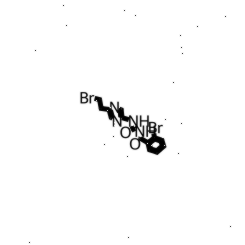 O=C(NC(=O)c1ccccc1Br)Nc1cnc(CCBr)cn1